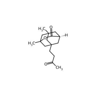 CC(=O)CCC12C[C@@H]3CC(C)(C1)CC(C)(C2)OC3=O